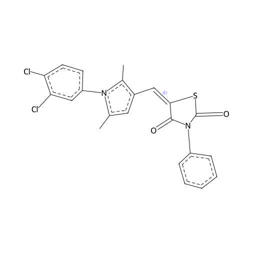 Cc1cc(/C=C2/SC(=O)N(c3ccccc3)C2=O)c(C)n1-c1ccc(Cl)c(Cl)c1